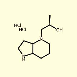 C[C@@H](O)CN1CCCC2NCCC21.Cl.Cl